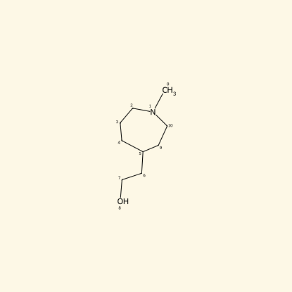 CN1CCCC(CCO)CC1